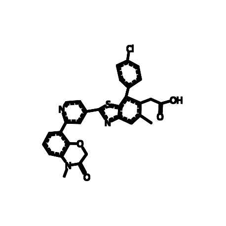 Cc1cc2nc(-c3ccnc(-c4cccc5c4OCC(=O)N5C)c3)sc2c(-c2ccc(Cl)cc2)c1CC(=O)O